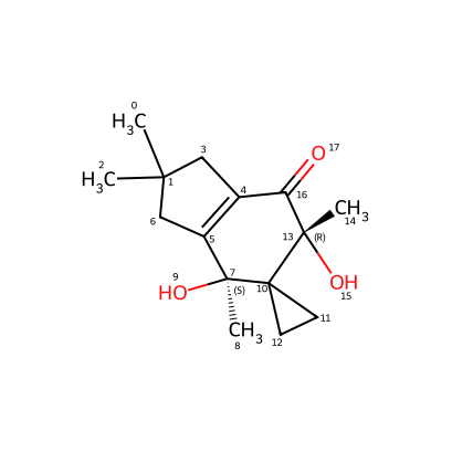 CC1(C)CC2=C(C1)[C@](C)(O)C1(CC1)[C@@](C)(O)C2=O